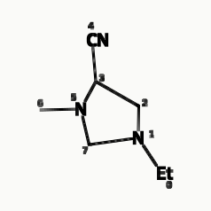 CCN1CC(C#N)N(C)C1